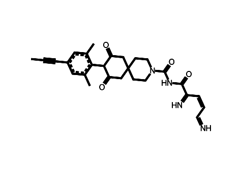 CC#Cc1cc(C)c(C2C(=O)CC3(CCN(C(=O)NC(=O)C(=N)/C=C\C=N)CC3)CC2=O)c(C)c1